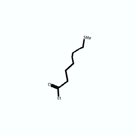 [CH2]CC(=O)CCCCCSC